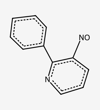 O=Nc1cccnc1-c1ccccc1